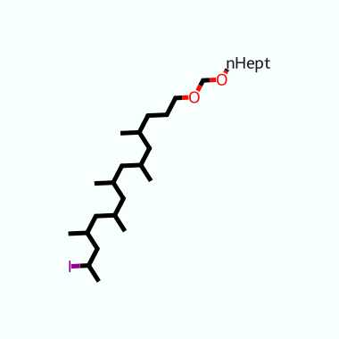 CCCCCCCOCOCCCC(C)CC(C)CC(C)CC(C)CC(C)CC(C)I